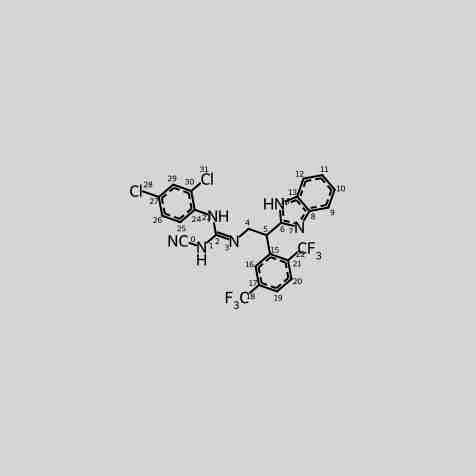 N#CNC(=NCC(c1nc2ccccc2[nH]1)c1cc(C(F)(F)F)ccc1C(F)(F)F)Nc1ccc(Cl)cc1Cl